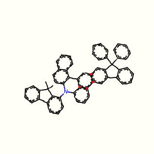 CC1(C)c2ccccc2-c2cccc(N(c3cccc(-c4ccc5c(c4)-c4ccccc4C5(c4ccccc4)c4ccccc4)c3)c3ccc4ccccc4c3-c3ccccc3)c21